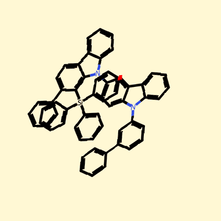 c1ccc(-c2cccc(-n3c4ccccc4c4cc(-n5c6ccccc6c6ccc(-c7ccccc7)c([Si](c7ccccc7)(c7ccccc7)c7ccccc7)c65)ccc43)c2)cc1